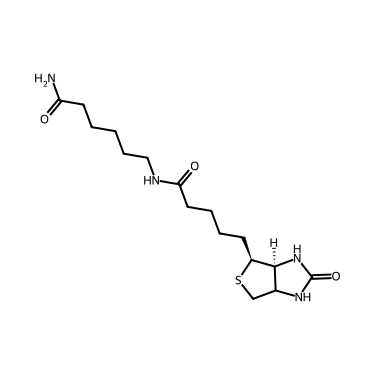 NC(=O)CCCCCNC(=O)CCCC[C@@H]1SCC2NC(=O)N[C@@H]21